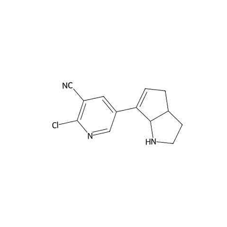 N#Cc1cc(C2=CCC3CCNC23)cnc1Cl